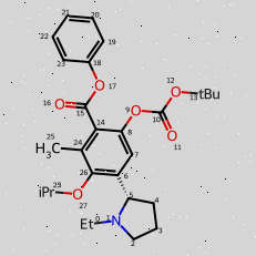 CCN1CCC[C@H]1c1cc(OC(=O)OC(C)(C)C)c(C(=O)Oc2ccccc2)c(C)c1OC(C)C